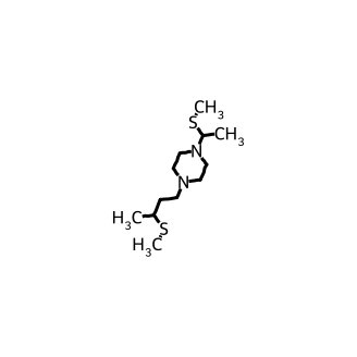 CSC(C)CCN1CCN(C(C)SC)CC1